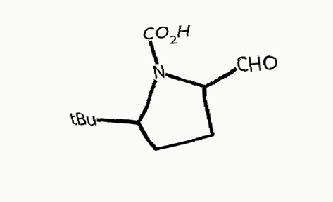 CC(C)(C)C1CCC(C=O)N1C(=O)O